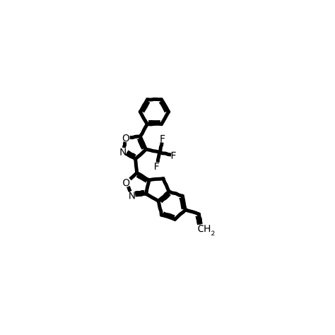 C=Cc1ccc2c(c1)Cc1c-2noc1-c1noc(-c2ccccc2)c1C(F)(F)F